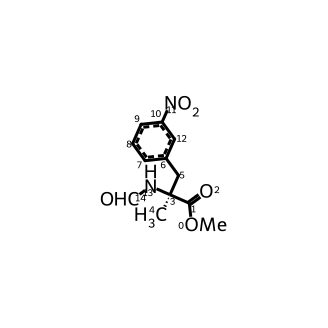 COC(=O)[C@](C)(Cc1cccc([N+](=O)[O-])c1)NC=O